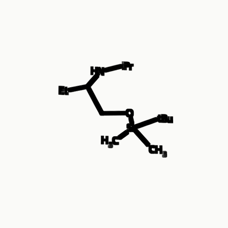 CCC(CO[Si](C)(C)C(C)(C)C)NC(C)C